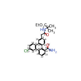 CCOC(=O)C(C)(C)NC(=O)Cc1cccc(-c2ccc(Cl)cc2-c2cccc(C(N)=O)c2)c1